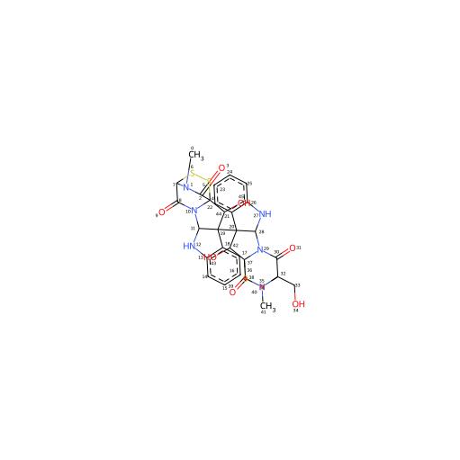 CN1C(=O)C23SSC1C(=O)N2C1Nc2ccccc2C1(C12c4ccccc4NC1N1C(=O)C4(CO)SSC1(C(=O)N4C)C2O)C3O